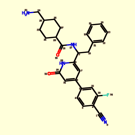 N#Cc1ccc(-c2cc(C(Cc3ccccc3)NC(=O)C3CCC(CN)CC3)[nH]c(=O)c2)cc1F